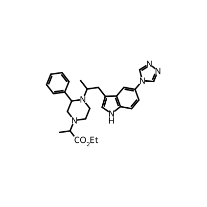 CCOC(=O)C(C)N1CCN(C(C)Cc2c[nH]c3ccc(-n4cnnc4)cc23)C(c2ccccc2)C1